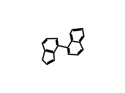 [CH]1C=Cc2c1cccc2-c1cccc2ccccc12